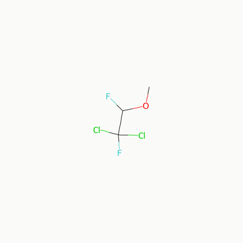 COC(F)C(F)(Cl)Cl